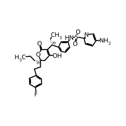 CCC[C@@]1(CCc2ccc(F)cc2)CC(O)=C([C@H](CC)c2cccc(NS(=O)(=O)c3ccc(N)cn3)c2)C(=O)O1